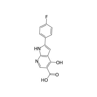 O=C(O)c1cnc2[nH]c(-c3ccc(F)cc3)cc2c1O